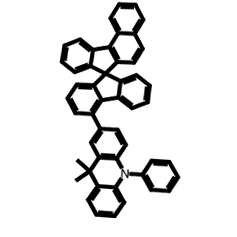 CC1(C)c2ccccc2N(c2ccccc2)c2ccc(-c3cccc4c3-c3ccccc3C43c4ccccc4-c4c3ccc3ccccc43)cc21